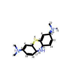 CN(C)C1=CC2SC3=CC(=[N+](C)C)C=CC3NC2C=C1